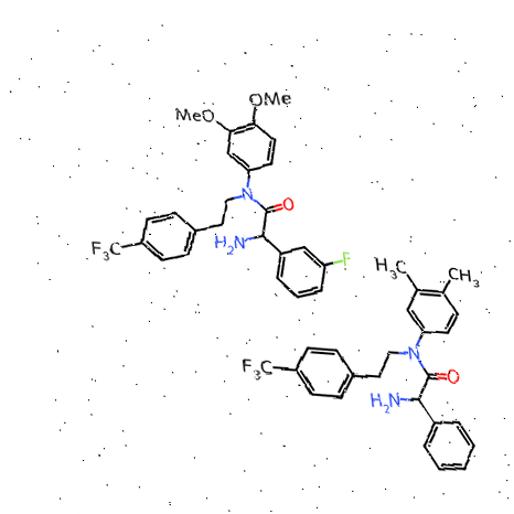 COc1ccc(N(CCc2ccc(C(F)(F)F)cc2)C(=O)C(N)c2cccc(F)c2)cc1OC.Cc1ccc(N(CCc2ccc(C(F)(F)F)cc2)C(=O)C(N)c2ccccc2)cc1C